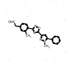 Cc1cc(CC=O)ccc1-c1noc(-c2cc(-c3ccccc3)n(C)n2)n1